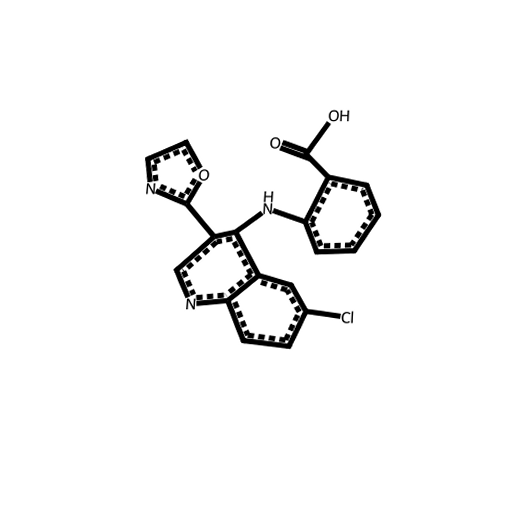 O=C(O)c1ccccc1Nc1c(-c2ncco2)cnc2ccc(Cl)cc12